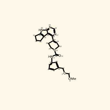 COCOCc1cccc(NC(=O)N2CC=C(c3ncnc4[nH]c5c(c34)CCC5)CC2)c1